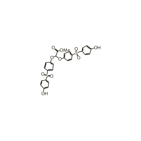 COC(=O)C(Oc1ccc(S(=O)(=O)c2ccc(O)cc2)cc1)Oc1ccc(S(=O)(=O)c2ccc(O)cc2)cc1